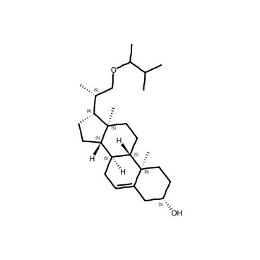 CC(C)C(C)OC[C@@H](C)[C@H]1CC[C@H]2[C@@H]3CC=C4C[C@@H](O)CC[C@]4(C)[C@H]3CC[C@]12C